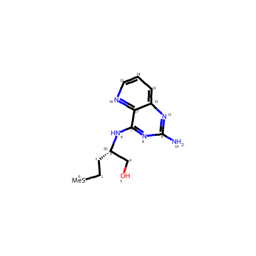 CSCC[C@@H](CO)Nc1nc(N)nc2cccnc12